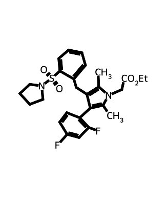 CCOC(=O)Cn1c(C)c(Cc2ccccc2S(=O)(=O)N2CCCC2)c(-c2ccc(F)cc2F)c1C